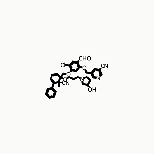 C[C@]1(C#N)C(c2ccccc2)=CC=CC1(COc1cc(OCc2cncc(C#N)c2)c(C=O)cc1Cl)OCCCN1CCC(O)C1